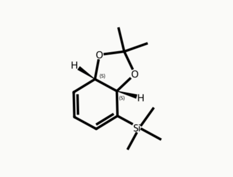 CC1(C)O[C@H]2C=CC=C([Si](C)(C)C)[C@H]2O1